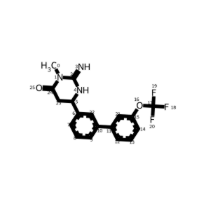 CN1C(=N)NC(c2cccc(-c3cccc(OC(F)(F)F)c3)c2)CC1=O